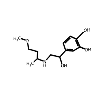 COCCC(C)NCC(O)c1ccc(O)c(O)c1